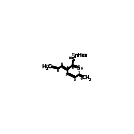 C=C/C=C\C(=C/C=C)C(=S)SCCCCCC